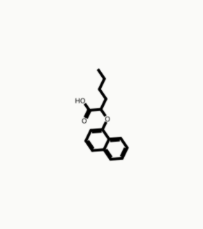 CCCCC(Oc1cccc2ccccc12)C(=O)O